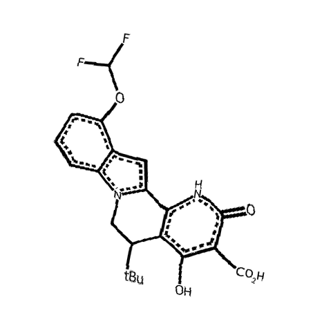 CC(C)(C)C1Cn2c(cc3c(OC(F)F)cccc32)-c2[nH]c(=O)c(C(=O)O)c(O)c21